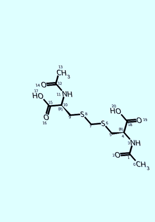 CC(=O)N[C@@H](CSCSC[C@H](NC(C)=O)C(=O)O)C(=O)O